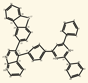 c1ccc(-c2cc(-c3ccc(-c4c(-c5ccc6sc7ccccc7c6c5)cnc5ncccc45)cc3)nc(-c3ccccc3)n2)cc1